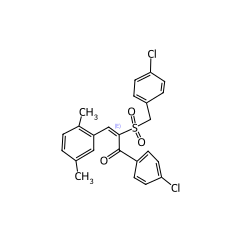 Cc1ccc(C)c(/C=C(\C(=O)c2ccc(Cl)cc2)S(=O)(=O)Cc2ccc(Cl)cc2)c1